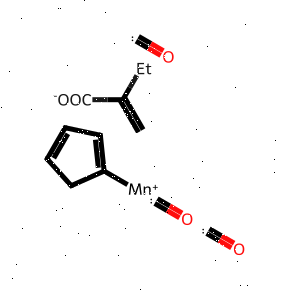 C=C(CC)C(=O)[O-].[C]=O.[C]=O.[C]=O.[Mn+][C]1=CC=CC1